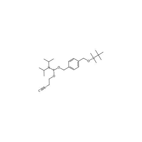 [C-]#[N+]CCOP(OCc1ccc(CO[Si](C)(C)C(C)(C)C)cc1)N(C(C)C)C(C)C